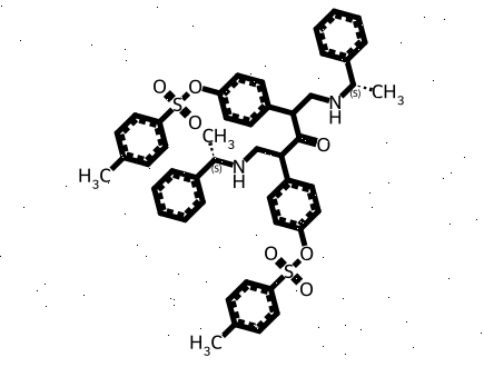 Cc1ccc(S(=O)(=O)Oc2ccc(C(CN[C@@H](C)c3ccccc3)C(=O)C(CN[C@@H](C)c3ccccc3)c3ccc(OS(=O)(=O)c4ccc(C)cc4)cc3)cc2)cc1